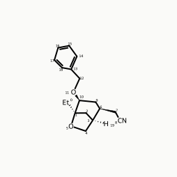 CC[C@]12C[C@H](CO1)[C@H](CC#N)C[C@@H]2OCc1ccccc1